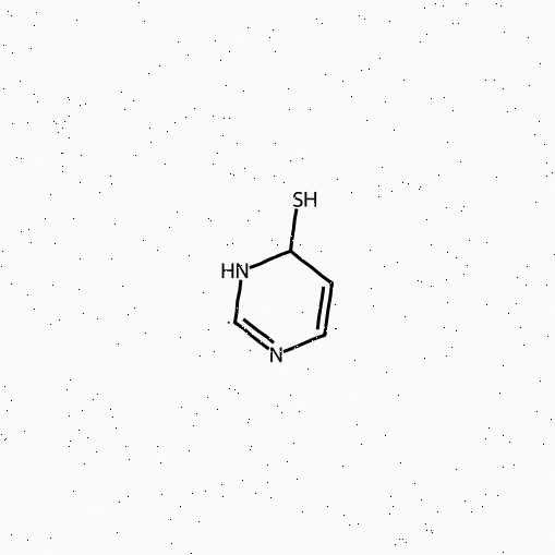 SC1C=CN=[C]N1